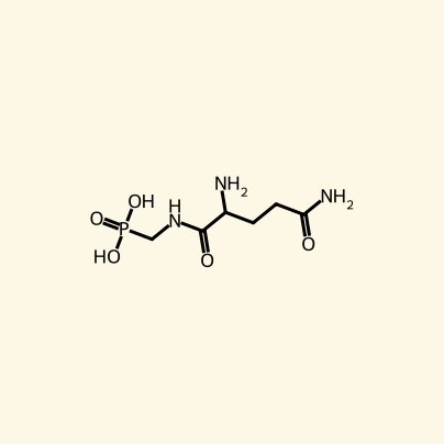 NC(=O)CCC(N)C(=O)NCP(=O)(O)O